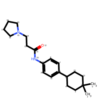 CC1(C)CCC(c2ccc(NC(=O)CCN3CCCC3)cc2)CC1